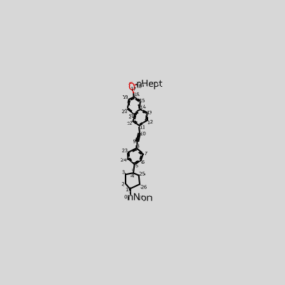 CCCCCCCCCC1CCC(c2ccc(C#Cc3ccc4cc(OCCCCCCC)ccc4c3)cc2)CC1